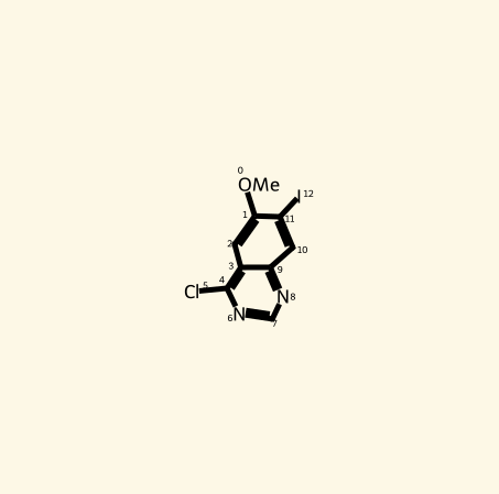 COc1cc2c(Cl)ncnc2cc1I